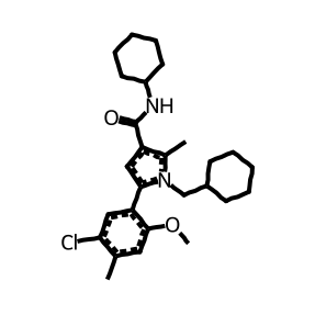 COc1cc(C)c(Cl)cc1-c1cc(C(=O)NC2CCCCC2)c(C)n1CC1CCCCC1